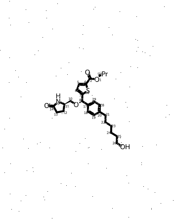 CC(C)OC(=O)c1ccc([C@@H](OC[C@H]2CCC(=O)N2)c2ccc(CCCCCCO)cc2)s1